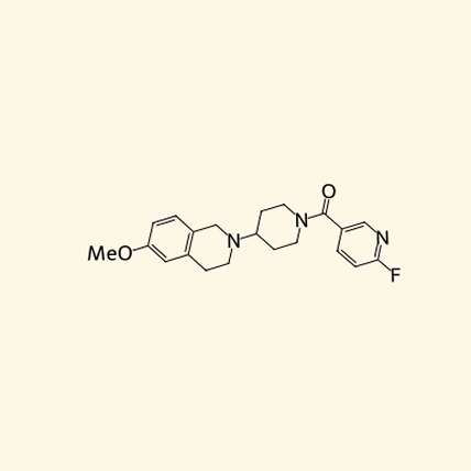 COc1ccc2c(c1)CCN(C1CCN(C(=O)c3ccc(F)nc3)CC1)C2